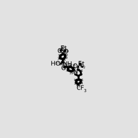 CCN(C)C(=O)[C@@H]1CCC(c2ccc(C(F)(F)F)cc2)CN1c1ccc(C(=O)N[C@@H](CO)c2ccc(S(=O)(=O)CC)cc2)cc1